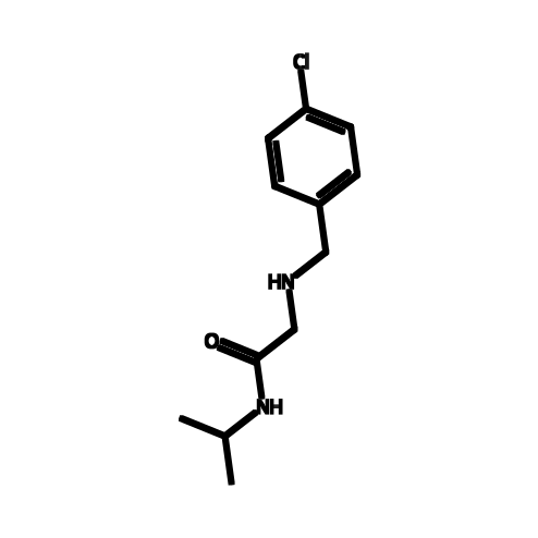 CC(C)NC(=O)CNCc1ccc(Cl)cc1